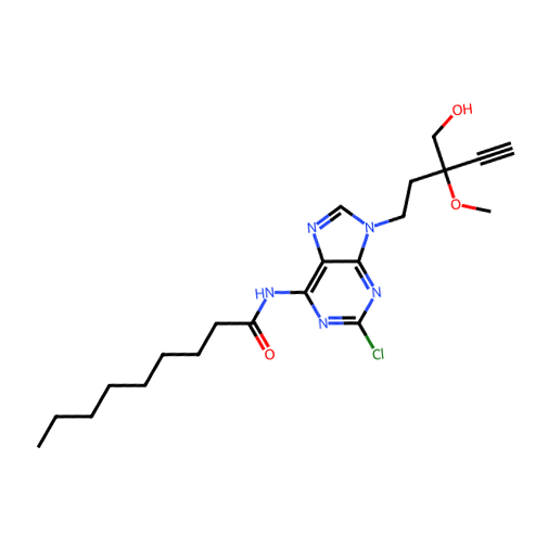 C#CC(CO)(CCn1cnc2c(NC(=O)CCCCCCCC)nc(Cl)nc21)OC